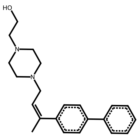 CC(=CCN1CCN(CCO)CC1)c1ccc(-c2ccccc2)cc1